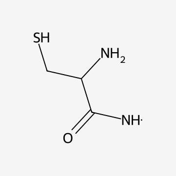 [NH]C(=O)C(N)CS